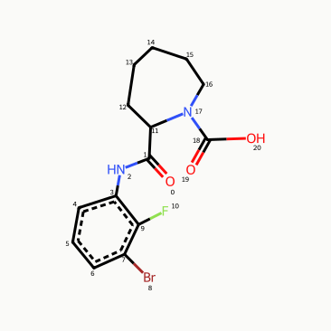 O=C(Nc1cccc(Br)c1F)C1CCCCCN1C(=O)O